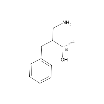 C[C@H](O)C(CN)Cc1ccccc1